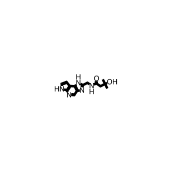 CC(C)(O)CC(=O)NCc1nc2cnc3[nH]ccc3c2[nH]1